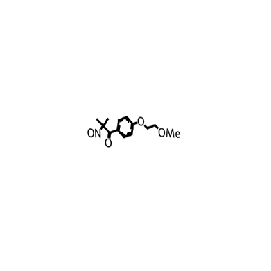 COCCOc1ccc(C(=O)C(C)(C)N=O)cc1